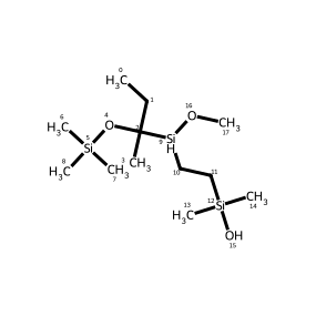 CCC(C)(O[Si](C)(C)C)[SiH](CC[Si](C)(C)O)OC